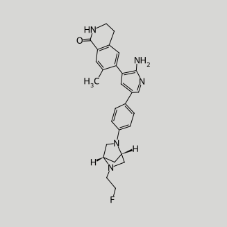 Cc1cc2c(cc1-c1cc(-c3ccc(N4C[C@@H]5C[C@H]4CN5CCF)cc3)cnc1N)CCNC2=O